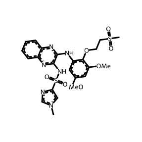 COc1cc(Nc2nc3ccccc3nc2NS(=O)(=O)c2cn(C)cn2)c(OCCS(C)(=O)=O)c(OC)c1